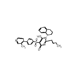 CCCCc1nc(=O)c(S(=O)(=O)c2ccc(-c3ccncc3C)cc2)c(O)n1[C@H]1CCCc2ccccc21